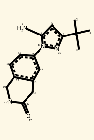 CC(C)(C)c1cc(N)n(-c2ccc3c(c2)CC(=O)[N]C3)n1